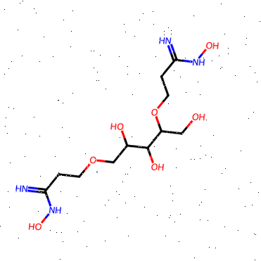 N=C(CCOCC(O)C(O)C(CO)OCCC(=N)NO)NO